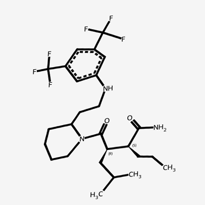 CCC[C@H](C(N)=O)[C@@H](CC(C)C)C(=O)N1CCCCC1CCNc1cc(C(F)(F)F)cc(C(F)(F)F)c1